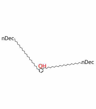 CCCCCCCCCCCCCCCCCCCCCCCCCCCCCCc1cccc(CCCCCCCCCCCCCCCCCCCCCCCCCCCCCC)c1O